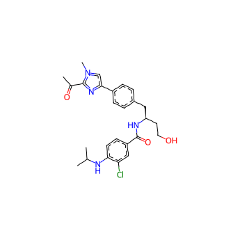 CC(=O)c1nc(-c2ccc(C[C@@H](CCO)NC(=O)c3ccc(NC(C)C)c(Cl)c3)cc2)cn1C